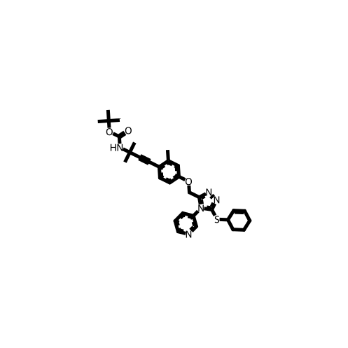 Cc1cc(OCc2nnc(SC3C=CCCC3)n2-c2cccnc2)ccc1C#CC(C)(C)NC(=O)OC(C)(C)C